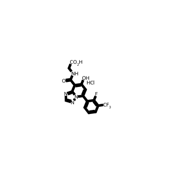 Cl.O=C(O)CNC(=O)c1c(O)cc(-c2cccc(C(F)(F)F)c2F)n2ncnc12